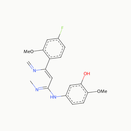 C=N/C(=C\C(=N/C)Nc1ccc(OC)c(O)c1)c1ccc(F)cc1OC